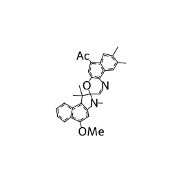 COc1cc2c(c3ccccc13)C(C)(C)C1(C=Nc3c(cc(C(C)=O)c4cc(C)c(C)cc34)O1)N2C